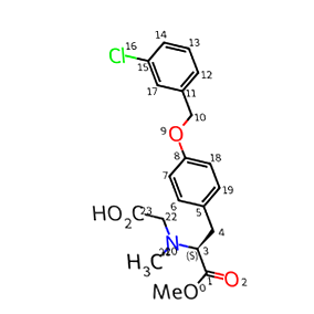 COC(=O)[C@H](Cc1ccc(OCc2cccc(Cl)c2)cc1)N(C)CC(=O)O